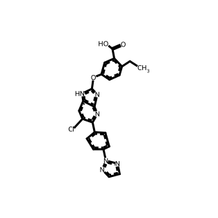 CCc1ccc(Oc2nc3nc(-c4ccc(-n5nccn5)cc4)c(Cl)cc3[nH]2)cc1C(=O)O